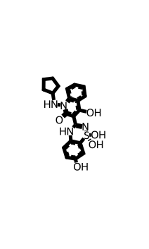 O=c1c(C2=NS(O)(O)c3cc(O)ccc3N2)c(O)c2ccccc2n1NC1CCCC1